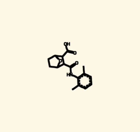 Cc1cccc(C)c1NC(=O)C1C2CCC(O2)C1C(=O)O